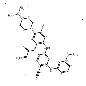 C=CC(=O)Nc1cc(N2CCC(N(C)C)CC2)c(Cl)cc1Nc1ncc(C#N)c(Nc2cccc(OC)c2)n1